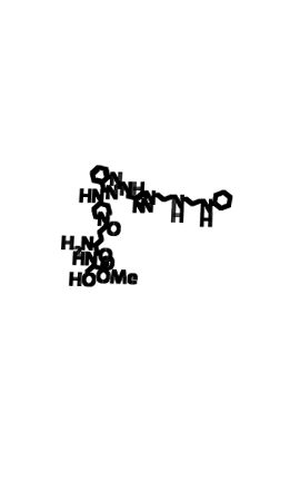 COC(=O)C(CO)NC(=O)C(N)CCC(=O)N1CCC(Nc2nc(NCc3cn(CCCNCCCNC4CCCCC4)nn3)nc3ccccc23)CC1